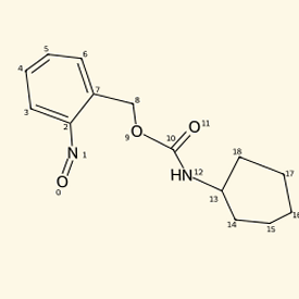 O=Nc1ccccc1COC(=O)NC1CCCCC1